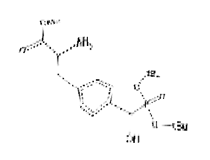 COC(=O)C(N)Cc1ccc(C(O)P(=O)(OC(C)(C)C)OC(C)(C)C)cc1